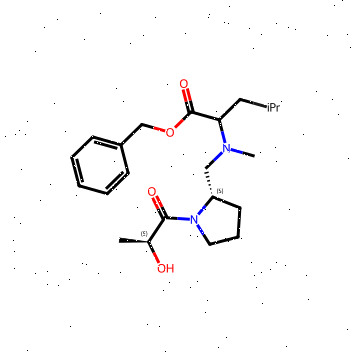 CC(C)CC(C(=O)OCc1ccccc1)N(C)C[C@@H]1CCCN1C(=O)[C@H](C)O